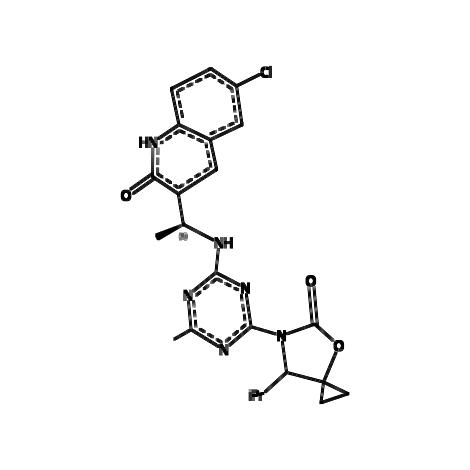 Cc1nc(N[C@@H](C)c2cc3cc(Cl)ccc3[nH]c2=O)nc(N2C(=O)OC3(CC3)C2C(C)C)n1